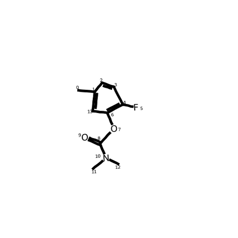 Cc1ccc(F)c(OC(=O)N(C)C)c1